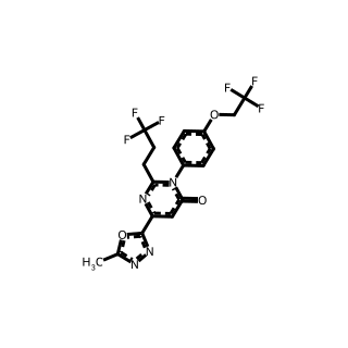 Cc1nnc(-c2cc(=O)n(-c3ccc(OCC(F)(F)F)cc3)c(CCC(F)(F)F)n2)o1